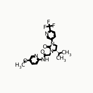 COc1ccc(NC(=O)CN2C(=O)N(c3ccc(C(F)(F)F)nc3)C[C@@H]2C(C)C)nc1